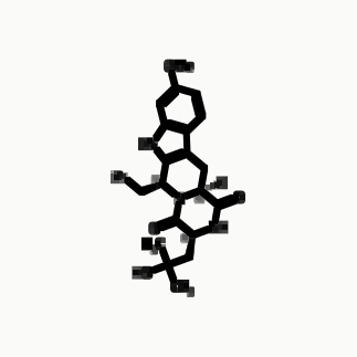 COc1ccc2c3c([nH]c2c1)[C@H](CC(C)C)N1C(=O)[C@H](CC(C)(C)O)NC(=O)[C@@H]1C3